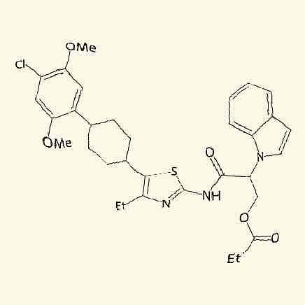 CCC(=O)OCC(C(=O)Nc1nc(CC)c(C2CCC(c3cc(OC)c(Cl)cc3OC)CC2)s1)n1ccc2ccccc21